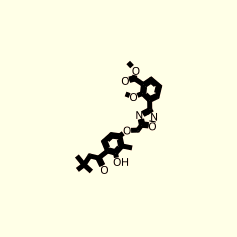 COC(=O)c1cccc(-c2noc(COc3ccc(C(=O)CC(C)(C)C)c(O)c3C)n2)c1OC